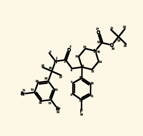 CN(C(=O)CC1(c2ccc(F)cc2)CCN(C(=O)OC(C)(C)C)CC1)C(C)(C)c1cc(Br)cc(Br)c1